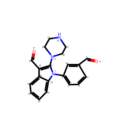 O=Cc1cccc(-n2c(N3CCNCC3)c(C=O)c3ccccc32)c1